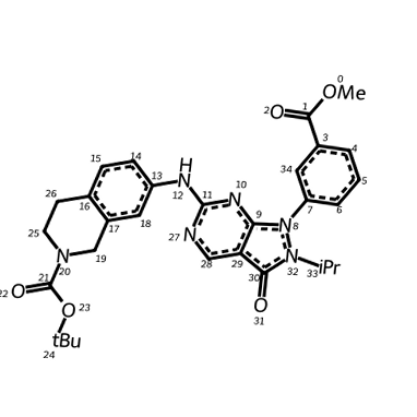 COC(=O)c1cccc(-n2c3nc(Nc4ccc5c(c4)CN(C(=O)OC(C)(C)C)CC5)ncc3c(=O)n2C(C)C)c1